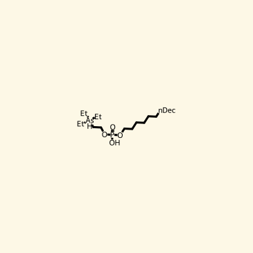 CCCCCCCCCCCCCCCCOP(=O)(O)OCC[AsH](CC)(CC)CC